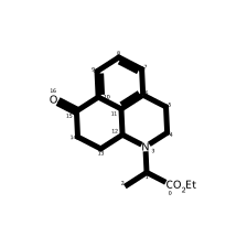 CCOC(=O)C(C)N1CCc2cccc3c2C1CCC3=O